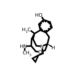 CNC1COC[C@H]2Cc3ccc(O)cc3C(C)(CCN2CC2CC2)C1